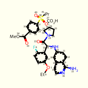 CCOc1ccc(F)c([C@H](Nc2ccc3c(N)nccc3c2)C(=O)N2CC[C@@H](C(=O)O)[C@H]2c2cc(C(=O)OC)ccc2S(=O)(=O)C(C)C)c1